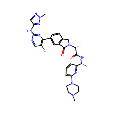 C[C@H](C(=O)N[C@H](C)c1cccc(N2CCN(C)CC2)n1)N1Cc2ccc(-c3nc(Nc4cnn(C)n4)ncc3Cl)cc2C1=O